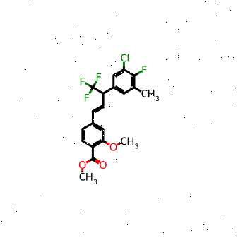 COC(=O)c1ccc(/C=C/C(c2cc(C)c(F)c(Cl)c2)C(F)(F)F)cc1OC